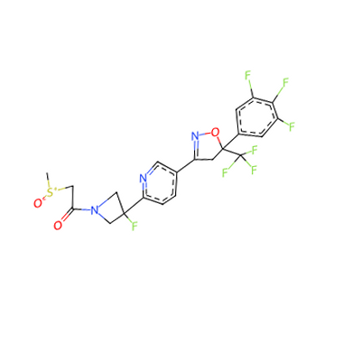 C[S+]([O-])CC(=O)N1CC(F)(c2ccc(C3=NOC(c4cc(F)c(F)c(F)c4)(C(F)(F)F)C3)cn2)C1